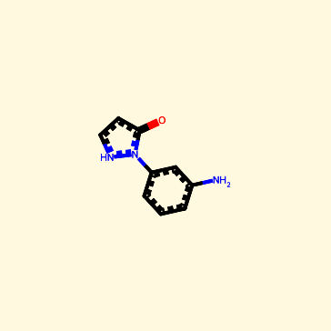 Nc1cccc(-n2[nH]ccc2=O)c1